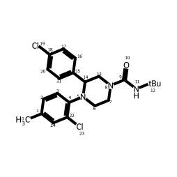 Cc1ccc(N2CCN(C(=O)NC(C)(C)C)CC2c2ccc(Cl)cc2)c(Cl)c1